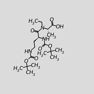 CCN(C(=O)[C@H](CCNC(=O)OC(C)(C)C)NC(=O)OC(C)(C)C)[C@@H](C)C(=O)O